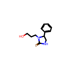 OCCCN1C(=S)NCC1c1ccccc1